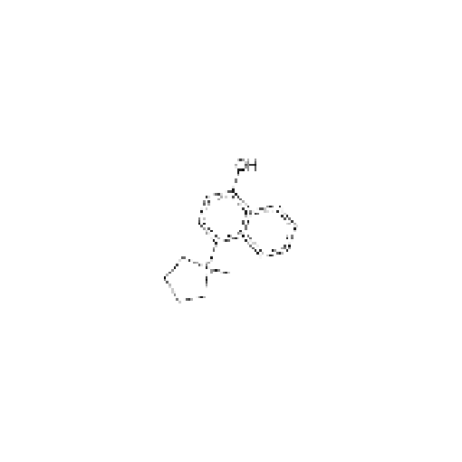 Oc1ccc(S2(I)CCCC2)c2ccccc12